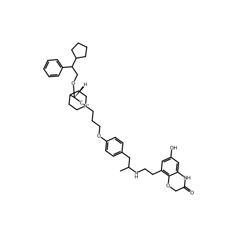 CC(Cc1ccc(OCCC[N+]23CCC(CC2)[C@H](OCC(c2ccccc2)C2CCCC2)C3)cc1)NCCc1cc(O)cc2c1OCC(=O)N2